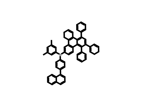 Cc1cc(C)cc(N(c2ccc(-c3cccc4ccccc34)cc2)c2ccc3c(c2)c2c(c4c(-c5ccccc5)cc(C5=CCCC=C5)c(-c5ccccc5)c43)C=CCC2)c1